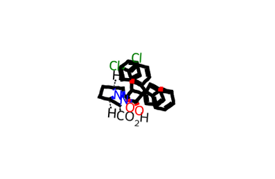 O=C(O)[C@@H]1[C@H]2CC[C@@H](CN1C(=O)C(c1ccccc1)c1ccc(Cl)c(Cl)c1)N2C(=O)C(c1ccccc1)c1ccccc1